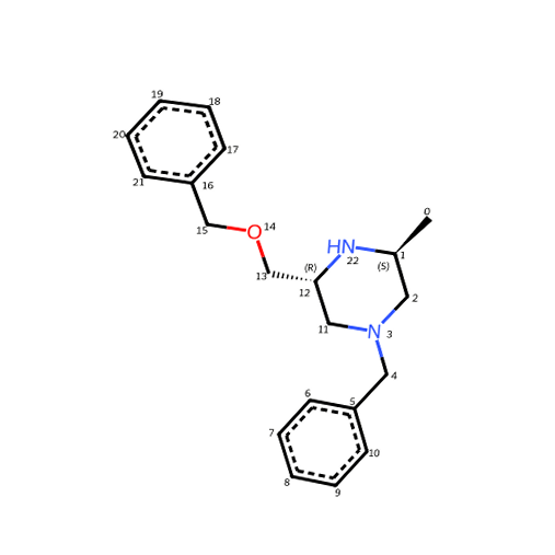 C[C@H]1CN(Cc2ccccc2)C[C@H](COCc2ccccc2)N1